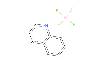 F[B-](F)(F)F.[c]1ccnc2ccccc12